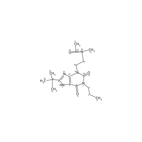 CCCn1c(=O)c2[nH]c(C(C)(C)C)nc2n(CCN(C)C(C)=O)c1=O